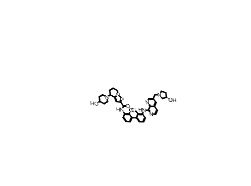 O=C(Nc1cccc(-c2cccc(Nc3nccc4cc(CN5CC[C@H](O)C5)cnc34)c2Cl)c1Cl)c1cc2n(n1)CCCC2N1CCC(O)CC1